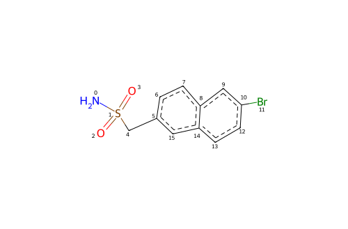 NS(=O)(=O)Cc1ccc2cc(Br)ccc2c1